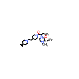 CC(C)CC(C(=O)N1CCC(CCN2CCC3(CC2)CC3)CC1)N1CCN(C)[C@@H](CC(C)C)C1=O